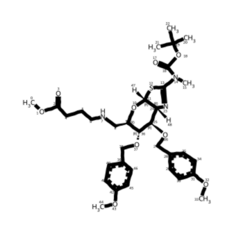 COC(=O)CCCNC[C@H]1O[C@@H]2SC(N(C)C(=O)OC(C)(C)C)=N[C@@H]2[C@@H](OCc2ccc(OC)cc2)[C@@H]1OCc1ccc(OC)cc1